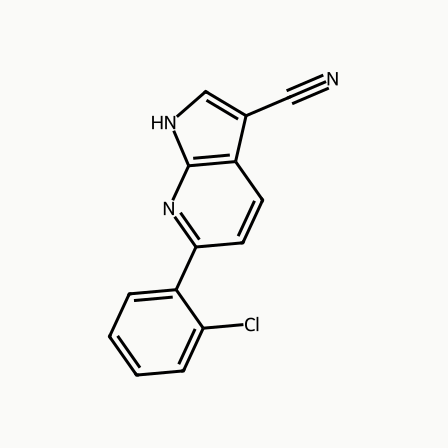 N#Cc1c[nH]c2nc(-c3ccccc3Cl)ccc12